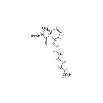 CCCC(C)N(C)C(=O)c1c(C=O)cccc1SCCOCCOCC(=O)O